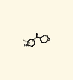 C[C@@H]1C[C@H](NC2CCOCC2)CCN1